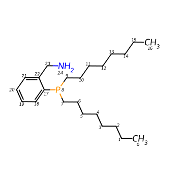 CCCCCCCCP(CCCCCCCC)c1ccccc1CN